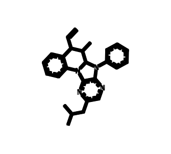 C=CC1c2ccccc2N2c3nc(CC(C)C)cnc3N(c3ccccc3)C2C1C